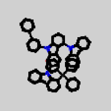 c1ccc(-c2cccc(-n3c4cc(-n5c6ccccc6c6cccc([Si](c7ccccc7)(c7ccccc7)c7ccccc7)c65)ccc4c4c(-n5c6ccccc6c6ccccc65)cccc43)c2)cc1